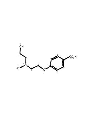 CC(C)N(CCO)CCOc1ccc(C(=O)O)cc1